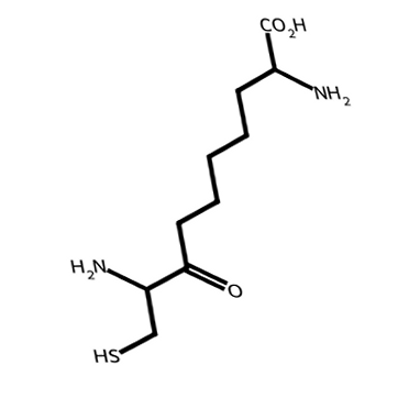 NC(CCCCCC(=O)C(N)CS)C(=O)O